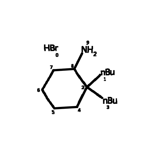 Br.CCCCC1(CCCC)CCCCC1N